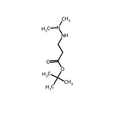 CN(C)NCCC(=O)OC(C)(C)C